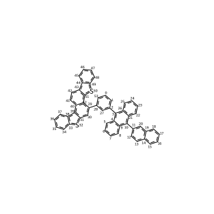 c1cc(-c2c3ccccc3c(-c3ccc4ccccc4c3)c3ccccc23)cc(-c2cc3sc4ccccc4c3c3ccc4c5ccccc5sc4c23)c1